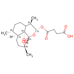 C[C@@H]1CCC2[C@@H](C)[C@H](OC(=O)CCC(=O)O)O[C@@H]3O[C@@]4(C)CC[C@@H]1[C@@]23OO4